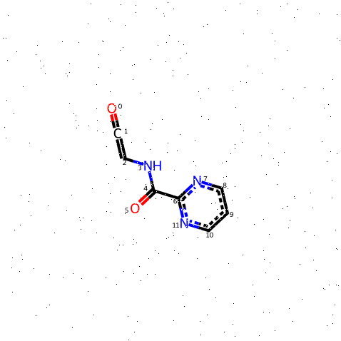 O=C=CNC(=O)c1ncccn1